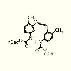 CCCCCCCCCCOC(=O)Nc1ccc(C)c(N=C=Nc2cc(NC(=O)OCCCCCCCCCC)ccc2C)c1